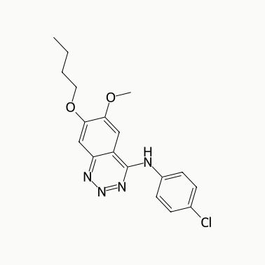 CCCCOc1cc2nnnc(Nc3ccc(Cl)cc3)c2cc1OC